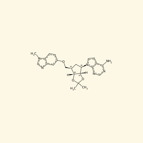 Cn1cnc2cc(OC[C@H]3C[C@@H](n4ccc5c(N)ncnc54)[C@@H]4OC(C)(C)O[C@H]34)ccc21